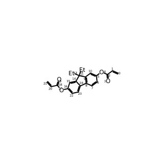 C=CC(=O)Oc1ccc2c(c1)C(CC)(CC)c1cc(OC(=O)C=C)ccc1-2